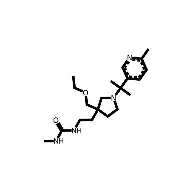 CCOCC1(CCNC(=O)NC)CCN(C(C)(C)c2ccc(C)nc2)C1